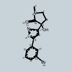 CN1CCC(O)(c2cc(-c3cccc(Br)c3)on2)C1=O